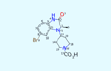 C[C@@H]1C(=O)Nc2ccc(Br)cc2N1C1CCN(C(=O)O)CC1